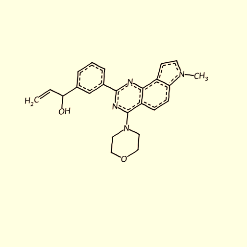 C=CC(O)c1cccc(-c2nc(N3CCOCC3)c3ccc4c(ccn4C)c3n2)c1